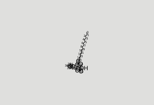 CCCCCCCCCCCCCCCCOC(=O)O[C@@H]1[C@@H](CO[Si](C)(C)C(C)(C)C)OC(=O)[C@@]1(C)O